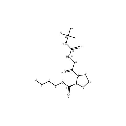 CCCCOC(=O)[C@@H]1CCCN1C(=O)CNC(=O)OC(C)(C)C